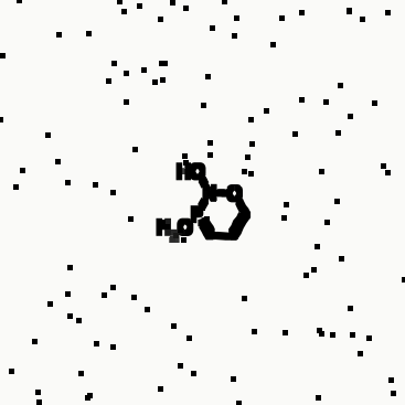 O.ON1OC=CC=P1